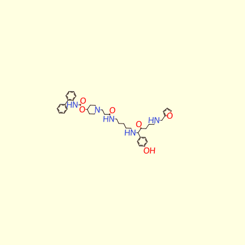 O=C(CCN1CCC(OC(=O)Nc2ccccc2-c2ccccc2)CC1)NCCCCCNC(C(=O)CCCNCc1ccco1)c1ccc(O)cc1